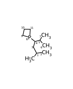 CC(C)CC(C(C)C)P1CCC1